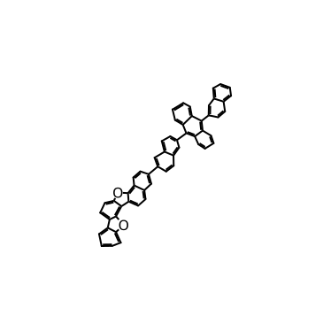 c1ccc2cc(-c3c4ccccc4c(-c4ccc5cc(-c6ccc7c(ccc8c7oc7ccc9c%10ccccc%10oc9c78)c6)ccc5c4)c4ccccc34)ccc2c1